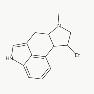 CCC1CN(C)C2Cc3c[nH]c4cccc(c34)C12